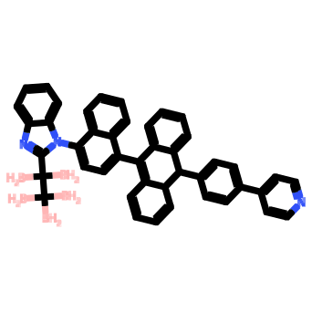 BC(B)(B)C(B)(B)c1nc2ccccc2n1-c1ccc(C2=C3C=CC=CC3C(c3ccc(-c4ccncc4)cc3)c3ccccc32)c2ccccc12